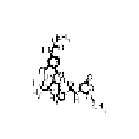 CCO[C@@H]1OC(=O)C[C@@H]1NC(=O)[C@@H]1CCCN1C(=O)[C@@H](NC(=O)c1ccc(NC(=O)OC)cc1Cl)C(C)(C)C